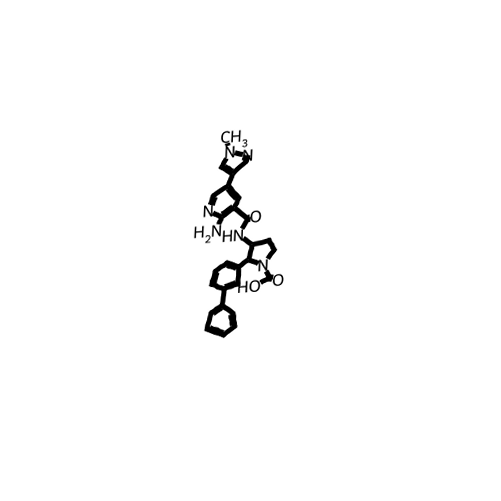 Cn1cc(-c2cnc(N)c(C(=O)NC3CCN(C(=O)O)C3c3cccc(-c4ccccc4)c3)c2)cn1